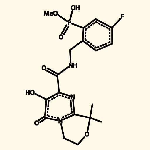 COP(=O)(O)c1cc(F)ccc1CNC(=O)c1nc2n(c(=O)c1O)CCOC2(C)C